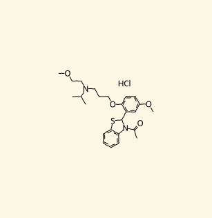 COCCN(CCCOc1ccc(OC)cc1C1Sc2ccccc2N1C(C)=O)C(C)C.Cl